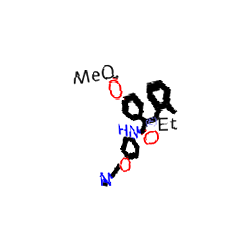 CC/C(=C(\C(=O)Nc1ccc(OCCN(C)C)cc1)c1ccc(OCOC)cc1)c1ccccc1C